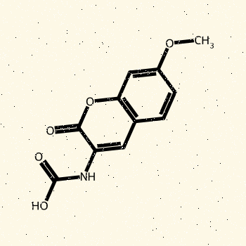 COc1ccc2cc(NC(=O)O)c(=O)oc2c1